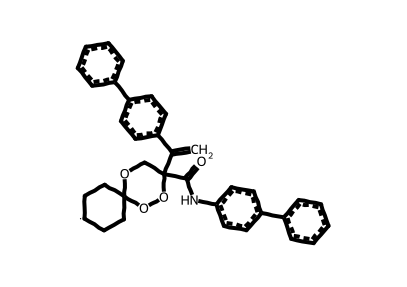 C=C(c1ccc(-c2ccccc2)cc1)C1(C(=O)Nc2ccc(-c3ccccc3)cc2)COC2(CC[CH]CC2)OO1